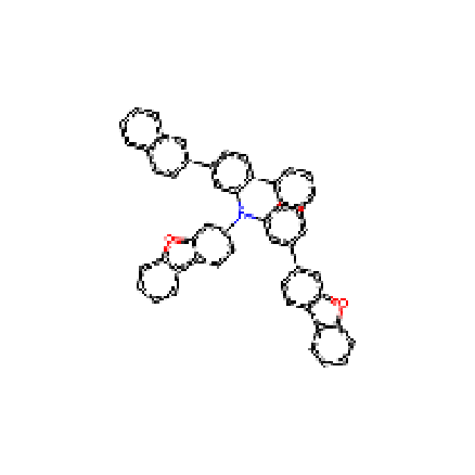 c1ccc(-c2ccc(-c3ccc4ccccc4c3)cc2N(c2cccc(-c3ccc4c(c3)oc3ccccc34)c2)c2ccc3c(c2)oc2ccccc23)cc1